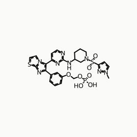 Cn1ccc(S(=O)(=O)N2CCCC(Nc3nccc(-c4c(-c5cccc(OCOP(=O)(O)O)c5)nc5sccn45)n3)C2)n1